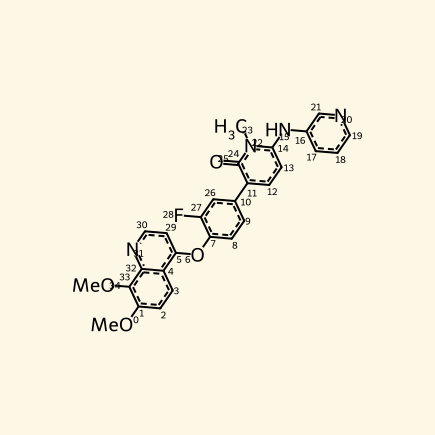 COc1ccc2c(Oc3ccc(-c4ccc(Nc5cccnc5)n(C)c4=O)cc3F)ccnc2c1OC